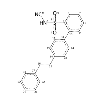 N#CNS(=O)(=O)c1ccccc1-c1ccc(CCc2ccccc2)cc1